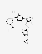 Cc1nc(-c2nnn(C)c2CNc2nccc(OC3CC3)n2)c(F)cc1O[C@H]1CCC[C@H](C(=O)O)C1